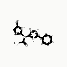 CC(C)c1cnc(N(C(N)=O)c2nnc(-c3ccccc3)o2)s1